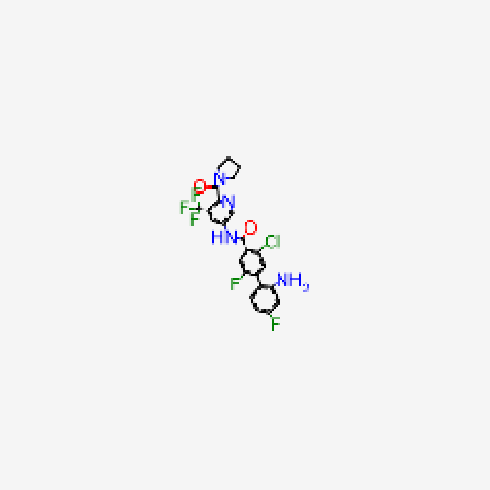 Nc1cc(F)ccc1-c1cc(Cl)c(C(=O)Nc2cnc(C(=O)N3CCCC3)c(C(F)(F)F)c2)cc1F